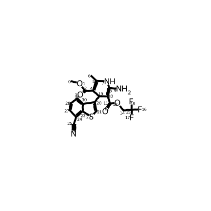 COC(=O)C1=C(C)NC(N)=C(C(=O)OCC(F)(F)F)C1c1csc2c(C#N)cccc12